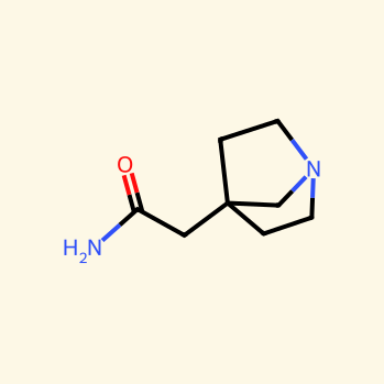 NC(=O)CC12CCN(CC1)C2